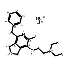 CCN(CC)CCOc1c(C)nc(Cc2ccccc2)c2c1COC2.Cl.Cl